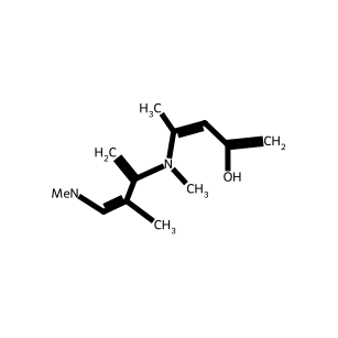 C=C(O)/C=C(/C)N(C)C(=C)/C(C)=C\NC